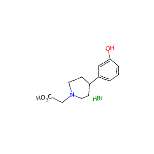 Br.O=C(O)CN1CCC(c2cccc(O)c2)CC1